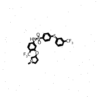 CN1CCC(Oc2cc(NS(=O)(=O)c3ccc(Sc4cccc(C(F)(F)F)c4)cc3)ccc2C(F)(F)F)C1